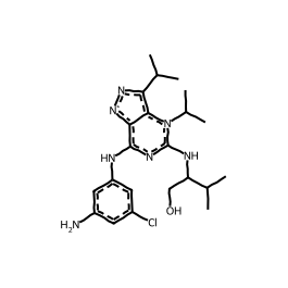 CC(C)c1nnc2c(Nc3cc(N)cc(Cl)c3)nc(NC(CO)C(C)C)n(C(C)C)c1-2